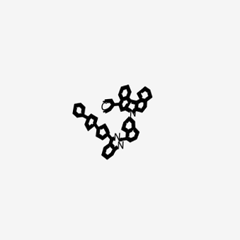 c1ccc(-c2ccc(-c3ccc(-c4nc(-c5cccc6cc(-n7c8ccc9ccccc9c8c8c9ccccc9c(-c9ccccc9)cc87)ccc56)nc5ccccc45)cc3)cc2)cc1